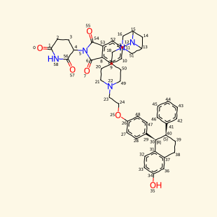 O=C1CCC(N2C(=O)c3ccc(N4C5CC4CN(CC4CCN(CCOc6ccc([C@@H]7c8ccc(O)cc8CC[C@@H]7c7ccccc7)cc6)CC4)C5)cc3C2=O)C(=O)N1